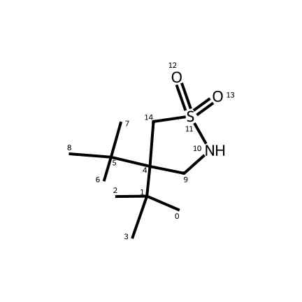 CC(C)(C)C1(C(C)(C)C)CNS(=O)(=O)C1